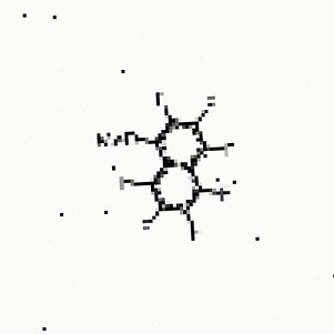 COc1c(F)c(F)c(F)c2c(F)c(F)c(F)c(F)c12